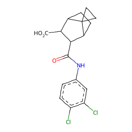 O=C(O)C1C(C(=O)Nc2ccc(Cl)c(Cl)c2)C2CCC1C21CC1